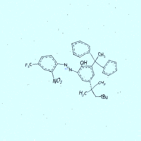 CC(C)(C)CC(C)(C)c1cc(/N=N/c2ccc(C(F)(F)F)cc2[N+](=O)[O-])c(O)c(C(C)(c2ccccc2)c2ccccc2)c1